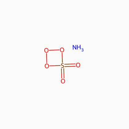 N.O=S1(=O)OOO1